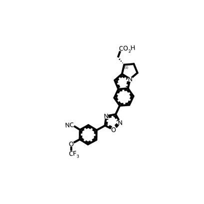 N#Cc1cc(-c2nc(-c3ccc4c(c3)cc3n4CC[C@H]3CC(=O)O)no2)ccc1OC(F)(F)F